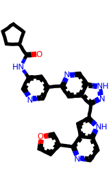 O=C(Nc1cncc(-c2cc3c(-c4cc5c(-c6ccoc6)nccc5[nH]4)n[nH]c3cn2)c1)C1CCCC1